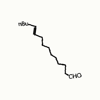 CCCCC=CCCCCCCCCC=O